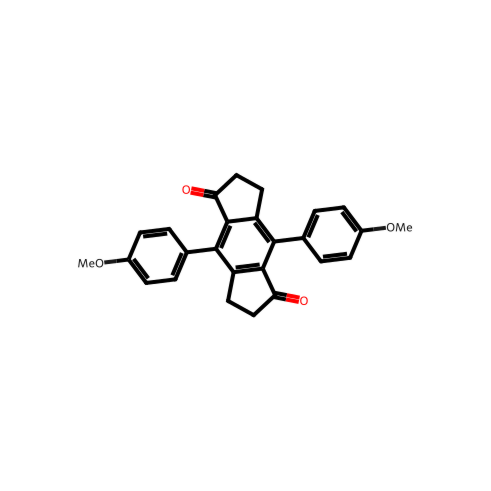 COc1ccc(-c2c3c(c(-c4ccc(OC)cc4)c4c2C(=O)CC4)C(=O)CC3)cc1